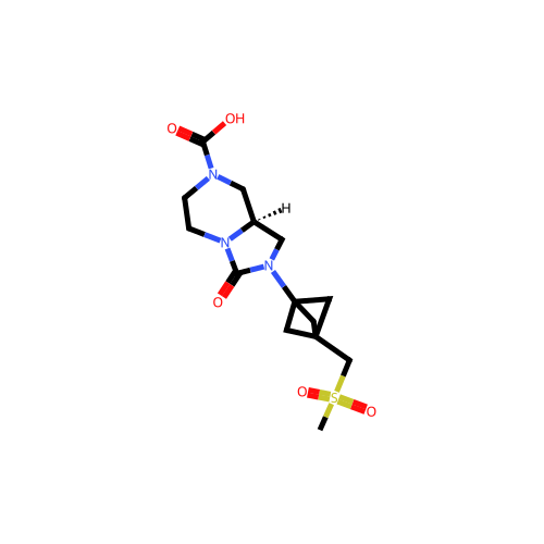 CS(=O)(=O)CC12CC(N3C[C@@H]4CN(C(=O)O)CCN4C3=O)(C1)C2